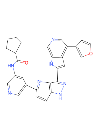 O=C(Nc1cncc(-c2ccc3[nH]nc(-c4cc5c(-c6ccoc6)cncc5[nH]4)c3n2)c1)C1CCCC1